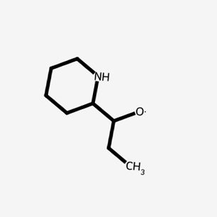 CCC([O])C1CCCCN1